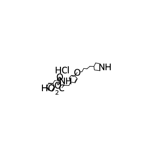 Cl.O=C(O)C(Cc1ccc(OCCCCC2CCNCC2)cc1)NS(=O)(=O)Cc1ccccc1